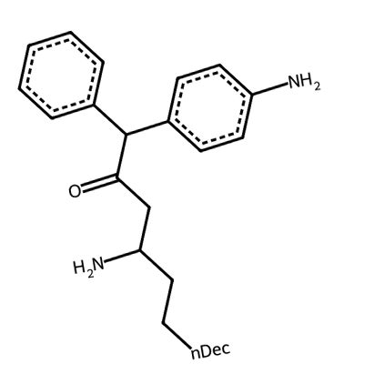 CCCCCCCCCCCCC(N)CC(=O)C(c1ccccc1)c1ccc(N)cc1